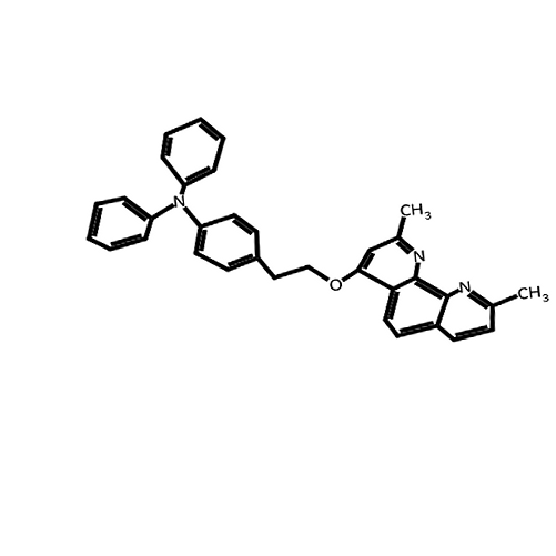 Cc1ccc2ccc3c(OCCc4ccc(N(c5ccccc5)c5ccccc5)cc4)cc(C)nc3c2n1